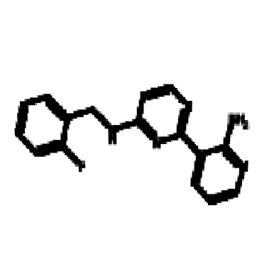 Nc1ncccc1-c1nccc(NCc2ccccc2F)n1